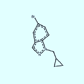 Brc1ccc2c(cnn2CC2CC2)c1